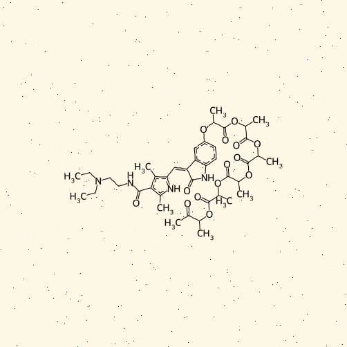 CCN(CC)CCNC(=O)c1c(C)[nH]c(/C=C2\C(=O)Nc3ccc(OC(C)C(=O)OC(C)C(=O)OC(C)C(=O)OC(C)C(=O)OC(C)C(=O)OC(C)C(C)=O)cc32)c1C